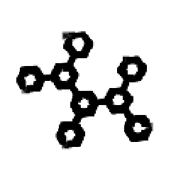 C1=CC(c2cc(-c3cccnc3)cc(-c3cc(-c4ccncc4)cc(-c4cc(-c5cccnc5)cc(-c5cccnc5)c4)c3)c2)=CNC1